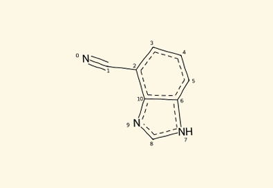 N#Cc1cccc2[nH]cnc12